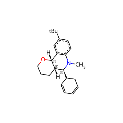 CN1c2ccc(C(C)(C)C)cc2[C@H]2OCCC[C@H]2[C@@H]1C1C=CC=CC1